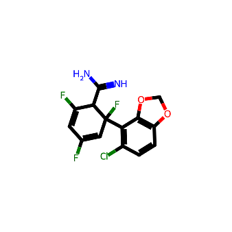 N=C(N)C1C(F)=CC(F)=CC1(F)c1c(Cl)ccc2c1OCO2